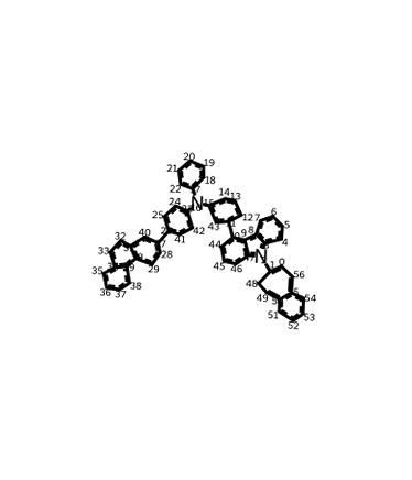 C1=C(n2c3ccccc3c3c(-c4cccc(N(c5ccccc5)c5ccc(-c6ccc7c(ccc8ccccc87)c6)cc5)c4)cccc32)CC=c2ccccc2=C1